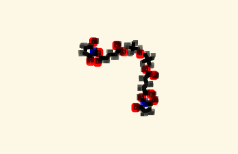 CC(C)(COCC(C)(C)COC(=O)CCCC(=O)ON1C(=O)CCC1=O)COC(=O)CCCC(=O)ON1C(=O)CCC1=O